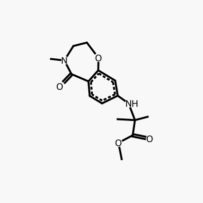 COC(=O)C(C)(C)Nc1ccc2c(c1)OCCN(C)C2=O